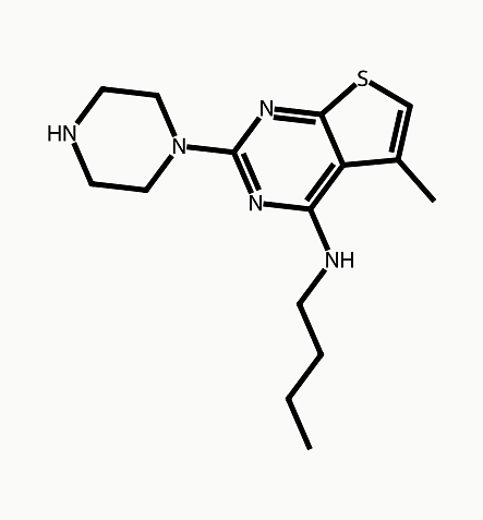 CCCCNc1nc(N2CCNCC2)nc2scc(C)c12